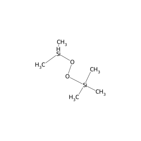 C[SiH](C)OO[Si](C)(C)C